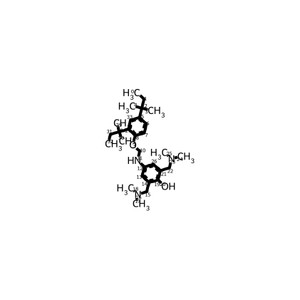 CCC(C)(C)c1ccc(OCNc2cc(CN(C)C)c(O)c(CN(C)C)c2)c(C(C)(C)CC)c1